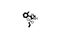 C=CCS(=O)(=O)c1[nH]nnc1-c1ccccc1C